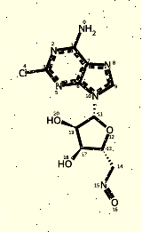 Nc1nc(Cl)nc2c1ncn2[C@@H]1O[C@H](CN=O)[C@@H](O)[C@H]1O